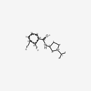 CC(C)N1CCC(NC(=O)c2cccc(F)c2F)C1